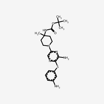 CC1(NC(=O)OC(C)(C)C)CCN(c2cnc(Sc3cccc(N)c3)c(N)n2)CC1